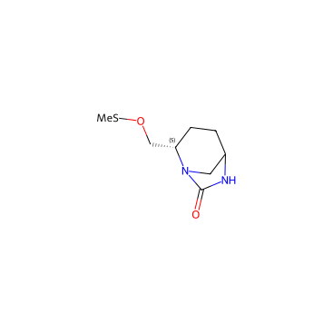 CSOC[C@@H]1CCC2CN1C(=O)N2